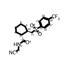 N#CCNC(=O)[C@@H]1CCCC[C@H]1CS(=O)(=O)c1ccc(C(F)(F)F)cc1